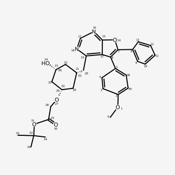 COc1ccc(-c2c(-c3ccccc3)oc3ncnc(C[C@H]4C[C@@H](O)C[C@@H](OCC(=O)OC(C)(C)C)C4)c23)cc1